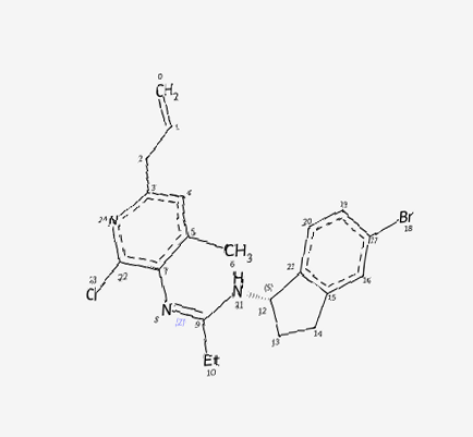 C=CCc1cc(C)c(/N=C(/CC)N[C@H]2CCc3cc(Br)ccc32)c(Cl)n1